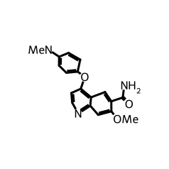 CNc1ccc(Oc2ccnc3cc(OC)c(C(N)=O)cc23)cc1